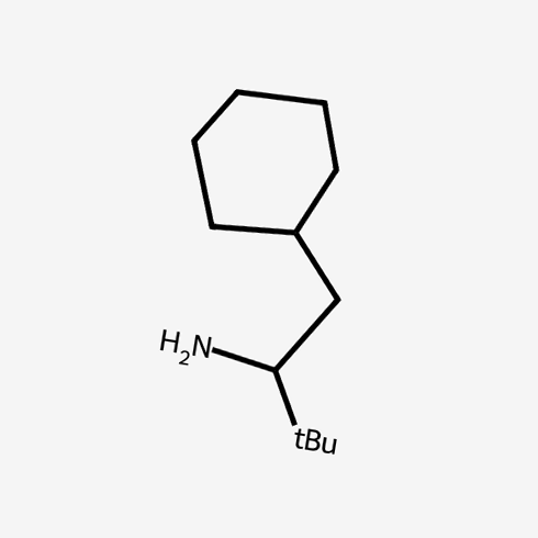 CC(C)(C)C(N)CC1CCCCC1